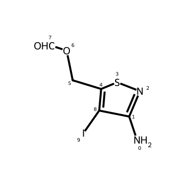 Nc1nsc(COC=O)c1I